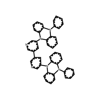 c1ccc(N2c3ccccc3N(c3cncc(-c4cncc(N5c6ccccc6N(c6ccccc6)c6ccccc65)c4)c3)c3ccccc32)cc1